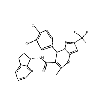 CC1=C(C(=O)N[C@H]2CCc3ccccc32)C(c2ccc(Cl)c(Cl)c2)n2nc(C(F)(F)F)cc2N1